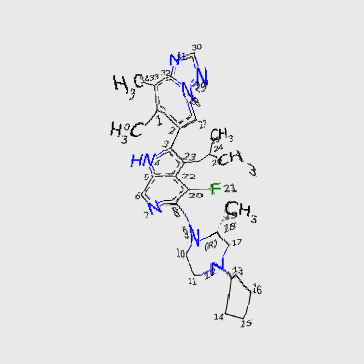 Cc1c(-c2[nH]c3cnc(N4CCN(C5CCC5)C[C@H]4C)c(F)c3c2C(C)C)cn2ncnc2c1C